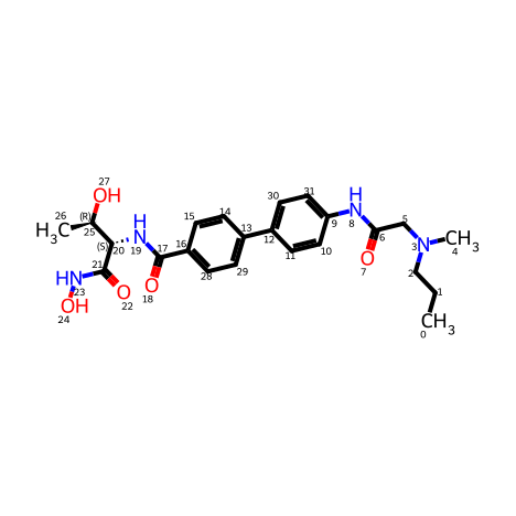 CCCN(C)CC(=O)Nc1ccc(-c2ccc(C(=O)N[C@H](C(=O)NO)[C@@H](C)O)cc2)cc1